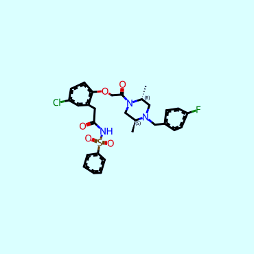 C[C@@H]1CN(Cc2ccc(F)cc2)[C@@H](C)CN1C(=O)COc1ccc(Cl)cc1CC(=O)NS(=O)(=O)c1ccccc1